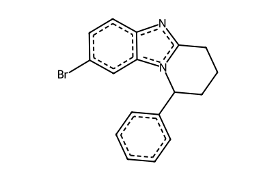 Brc1ccc2nc3n(c2c1)C(c1ccccc1)CCC3